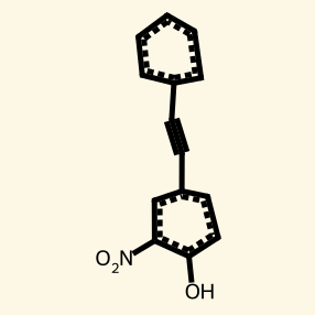 O=[N+]([O-])c1cc(C#Cc2ccccc2)ccc1O